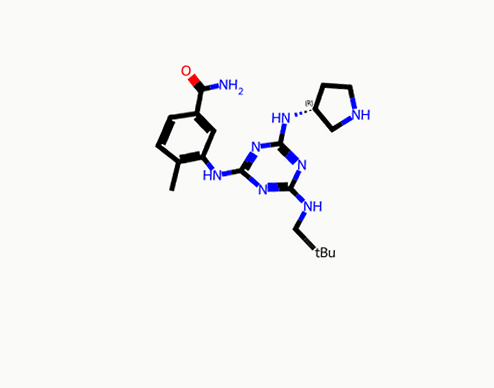 Cc1ccc(C(N)=O)cc1Nc1nc(NCC(C)(C)C)nc(N[C@@H]2CCNC2)n1